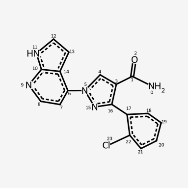 NC(=O)c1cn(-c2ccnc3[nH]ccc23)nc1-c1ccccc1Cl